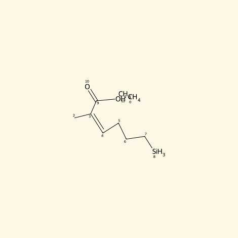 C.C.CC(=CCCC[SiH3])C(=O)O